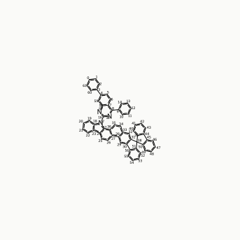 c1ccc(-c2ccc3c(-c4ccccc4)nc(-n4c5ccccc5c5ccc6c7cc8c(cc7ccc6c54)C4(c5ccccc5-c5ccccc54)c4ccccc4-8)nc3c2)cc1